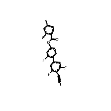 CC#Cc1c(F)cc(-c2ccc(OC(=O)c3ccc(C)cc3F)cc2F)cc1F